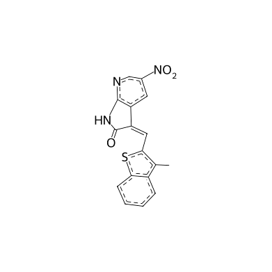 Cc1c(C=C2C(=O)Nc3ncc([N+](=O)[O-])cc32)sc2ccccc12